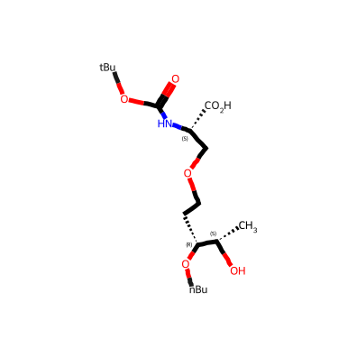 CCCCO[C@H](CCOC[C@H](NC(=O)OC(C)(C)C)C(=O)O)[C@H](C)O